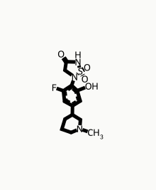 CN1CCCC(c2cc(O)c(N3CC(=O)NS3(=O)=O)c(F)c2)C1